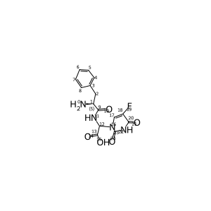 N[C@@H](Cc1ccccc1)C(=O)NC(C(=O)O)n1cc(F)c(=O)[nH]c1=O